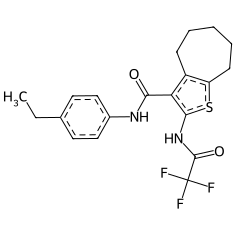 CCc1ccc(NC(=O)c2c(NC(=O)C(F)(F)F)sc3c2CCCCC3)cc1